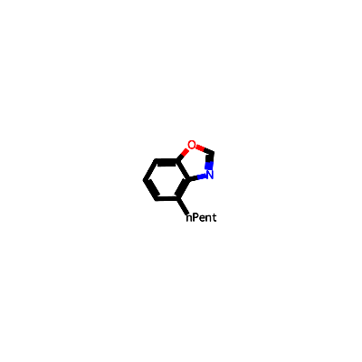 CCCCCc1cccc2ocnc12